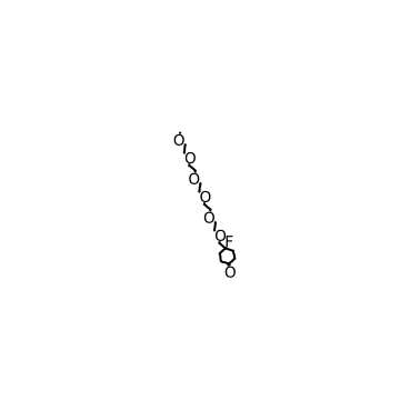 COCCOCCOCCOCCOCCOCC1(F)CCC(=O)CC1